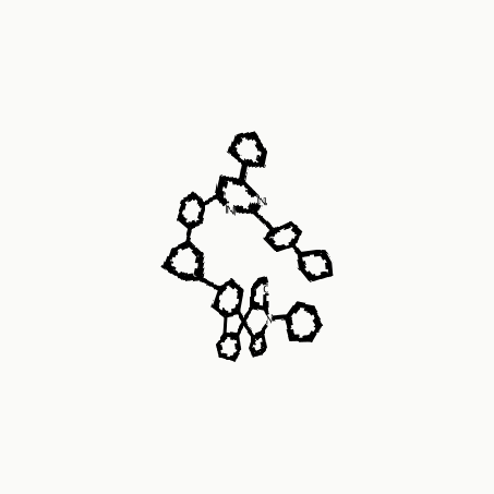 c1ccc(-c2ccc(-c3nc(-c4ccccc4)cc(-c4cccc(-c5cccc(-c6ccc7c(c6)-c6ccccc6C76c7ccccc7N(c7ccccc7)c7ccccc76)c5)c4)n3)cc2)cc1